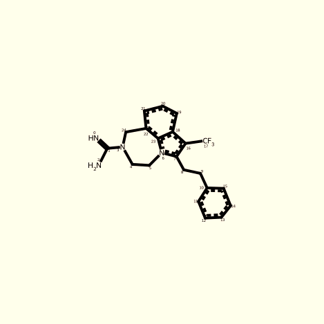 N=C(N)N1CCn2c(CCc3ccccc3)c(C(F)(F)F)c3cccc(c32)C1